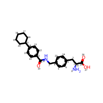 N[C@@H](Cc1ccc(CNC(=O)c2ccc(C3CCCCC3)cc2)cc1)C(=O)O